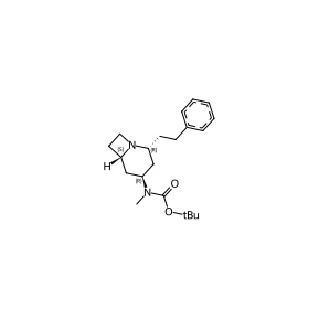 CN(C(=O)OC(C)(C)C)[C@@H]1C[C@@H](CCc2ccccc2)N2CC[C@H]2C1